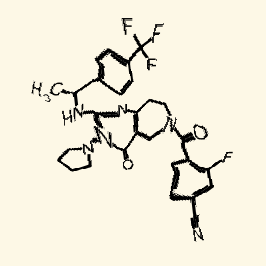 C[C@H](Nc1nc2c(c(=O)n1N1CCCC1)CN(C(=O)c1ccc(C#N)cc1F)CC2)c1ccc(C(F)(F)F)cc1